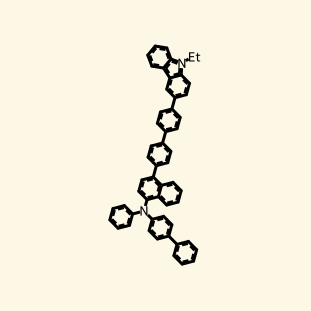 CCn1c2ccccc2c2cc(-c3ccc(-c4ccc(-c5ccc(N(c6ccccc6)c6ccc(-c7ccccc7)cc6)c6ccccc56)cc4)cc3)ccc21